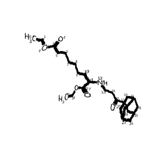 CCOC(=O)CCCCCCC(NCCC(=O)C12CC3CC(CC(C3)C1)C2)C(=O)OCC